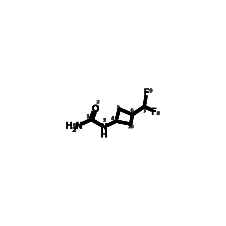 NC(=O)NC1CC(C(F)F)C1